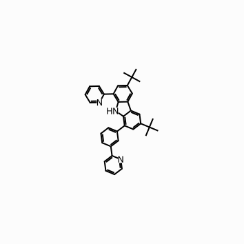 CC(C)(C)c1cc(-c2cccc(-c3ccccn3)c2)c2[nH]c3c(-c4ccccn4)cc(C(C)(C)C)cc3c2c1